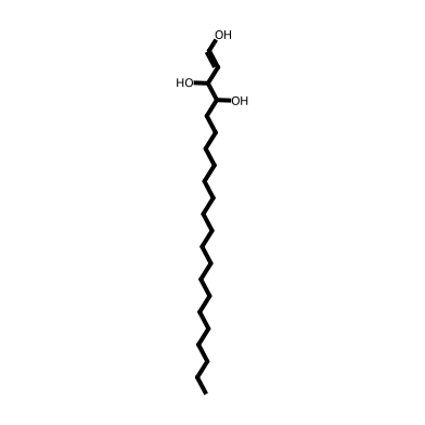 CCCCCCCCCCCCCCCCCCC(O)C(O)C=CO